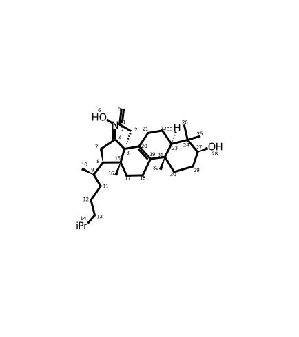 C=CC[C@@]12C(=NO)C[C@H]([C@H](C)CCCC(C)C)[C@@]1(C)CCC1=C2CC[C@H]2C(C)(C)[C@@H](O)CC[C@]12C